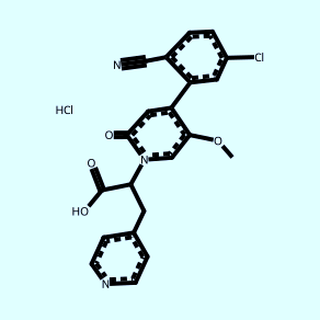 COc1cn(C(Cc2ccncc2)C(=O)O)c(=O)cc1-c1cc(Cl)ccc1C#N.Cl